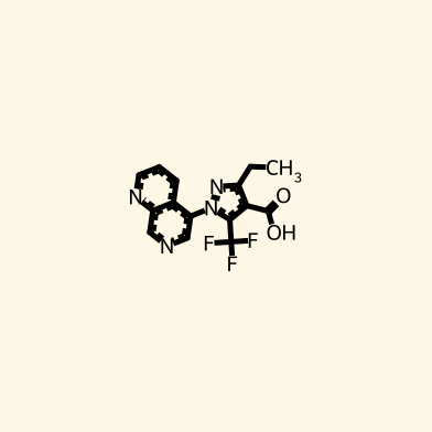 CCc1nn(-c2cncc3ncccc23)c(C(F)(F)F)c1C(=O)O